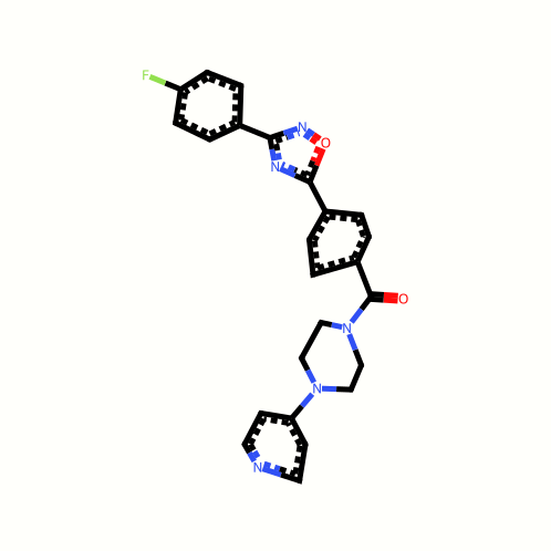 O=C(c1ccc(-c2nc(-c3ccc(F)cc3)no2)cc1)N1CCN(c2ccncc2)CC1